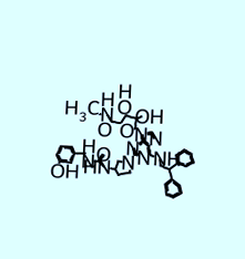 CCNC(=O)C1OC(n2cnc3c(NCC(c4ccccc4)c4ccccc4)nc(N4CCC(NC(=O)NCc5cccc(O)c5)C4)nc32)C(O)C1O